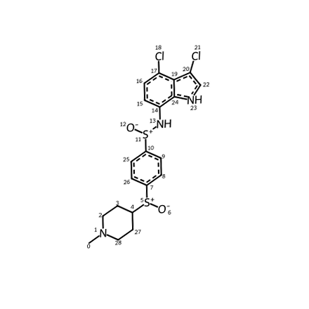 CN1CCC([S+]([O-])c2ccc([S+]([O-])Nc3ccc(Cl)c4c(Cl)c[nH]c34)cc2)CC1